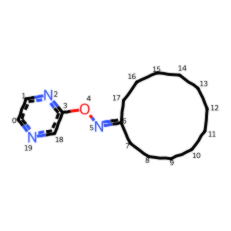 c1cnc(ON=C2CCCCCCCCCCC2)cn1